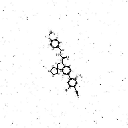 Cc1cc(C#N)c(F)cc1-c1ccc2c(c1)C1(CCCC1)CN2C(=O)NCc1ccc(SN)cc1